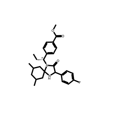 CC[C@H](c1ccc(C(=O)OC)cc1)N1C(=O)C(c2ccc(F)cc2)NC12CC(C)CC(C)C2